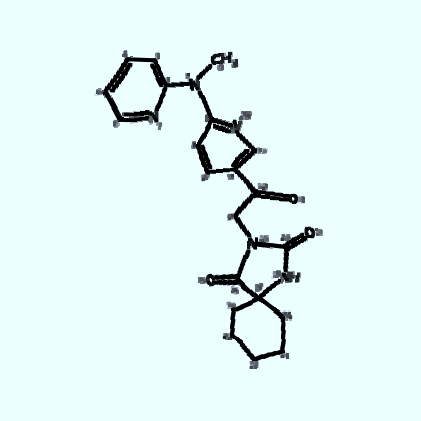 CN(c1ccccn1)c1ccc(C(=O)CN2C(=O)NC3(CCCCC3)C2=O)cn1